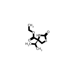 CCOC(=O)[C@@]1(C(C)C)CSC(=O)N1